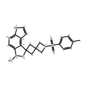 Cc1ccc(S(=O)(=O)N2CC3(C2)CC2(C3)OB(O)c3cnc4[nH]ccc4c32)cc1